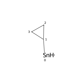 [SnH][CH]1CC1